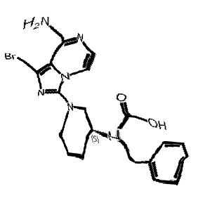 Nc1nccn2c(N3CCC[C@H](N(Cc4ccccc4)C(=O)O)C3)nc(Br)c12